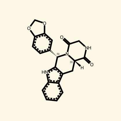 O=C1NCC(=O)N2[C@@H](c3ccc4c(c3)OCO4)c3[nH]c4ccccc4c3C[C@@H]12